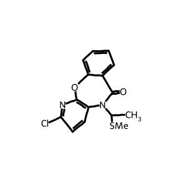 CSC(C)N1C(=O)c2ccccc2Oc2nc(Cl)ccc21